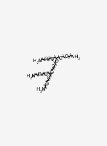 NCCOCCOCC(COCCOCCN)OCCOCCOC(COCCOCCN)COCCOCCN